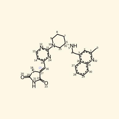 Cc1cc(CN[C@H]2CCCN(c3nccc(/C=C4\SC(=O)NC4=O)n3)C2)c2ccccc2n1